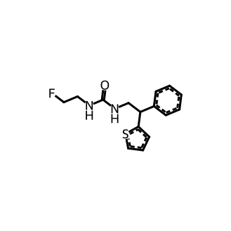 O=C(NCCF)NCC(c1ccccc1)c1cccs1